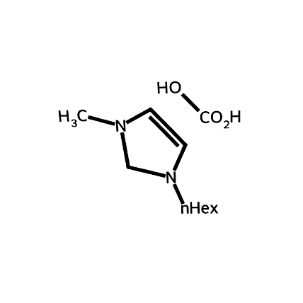 CCCCCCN1C=CN(C)C1.O=C(O)O